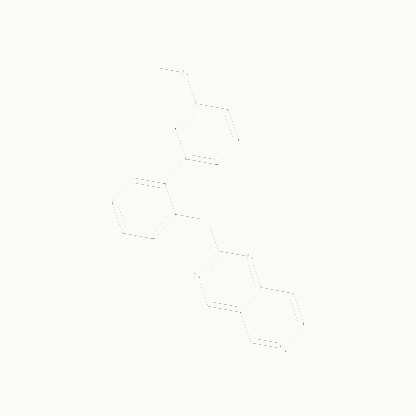 CCOC(=O)Nc1cccc(-c2ccccc2Oc2ncc3cnccc3n2)c1